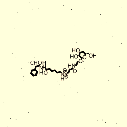 O=C[C@H](Cc1ccccc1)NNC(=O)CCCCCNS(=O)(=O)CCC(=O)NCCO[C@@H]1O[C@H](CO)C[C@H](O)[C@@H]1O